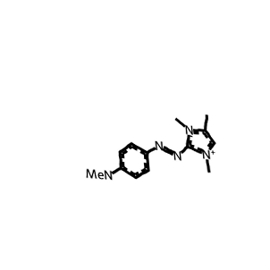 CNc1ccc(N=Nc2n(C)c(C)c[n+]2C)cc1